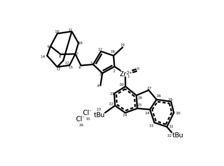 [CH2]=[Zr+2]([C]1=C(C)C(CC23CC4CC(CC(C4)C2)C3)=CC1C)[c]1cc(C(C)(C)C)cc2c1Cc1ccc(C(C)(C)C)cc1-2.[Cl-].[Cl-]